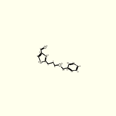 O=Cc1csc(CCCOCc2ccccc2)n1